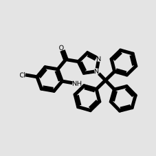 Nc1ccc(Cl)cc1C(=O)c1cnn(C(c2ccccc2)(c2ccccc2)c2ccccc2)c1